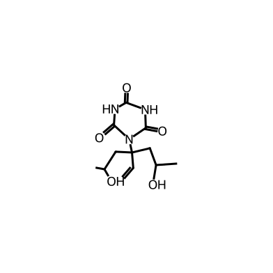 C=CC(CC(C)O)(CC(C)O)n1c(=O)[nH]c(=O)[nH]c1=O